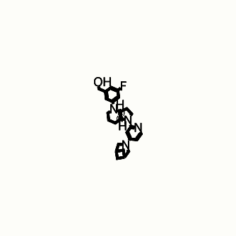 OCc1cc(F)cc(N2CCC[C@@H]3[C@H]2CCN3c2cc(N3CC4CC(C4)C3)ccn2)c1